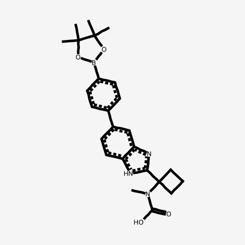 CN(C(=O)O)C1(c2nc3cc(-c4ccc(B5OC(C)(C)C(C)(C)O5)cc4)ccc3[nH]2)CCC1